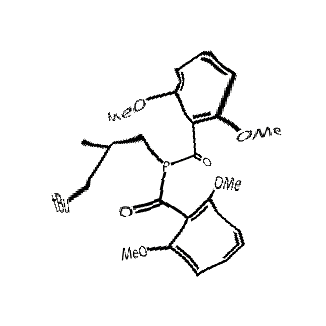 COc1cccc(OC)c1C(=O)P(CC(C)CC(C)(C)C)C(=O)c1c(OC)cccc1OC